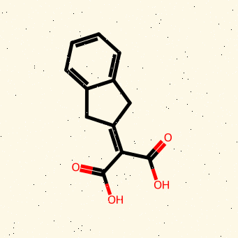 O=C(O)C(C(=O)O)=C1Cc2ccccc2C1